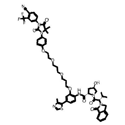 Cc1ncsc1-c1ccc(NC(=O)[C@@H]2C[C@@H](O)CN2C(=O)[C@H](C(C)C)N2Cc3ccccc3C2=O)c(OCCCOCCCOCCOc2ccc(N3C(=O)N(c4ccc(C#N)c(C(F)(F)F)c4)C(=O)C3(C)C)cc2)c1